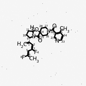 C=C(/C=C(F)\C=C(/C)F)[C@@H]1CC[C@H]2OC3(CCN(C(=O)c4cnccc4C)CC3)C(=O)N21